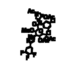 COC1C(C(=O)N(c2cc(Cl)cc(Cl)c2)[C@H]2CN(C(C)=O)C[C@@H]2OC(C)=O)OC(COC(C)=O)C(OC(C)=O)C1n1cc(-c2cc(F)c(F)c(F)c2)nn1